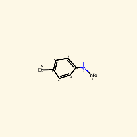 CCCCNc1ccc(CC)cc1